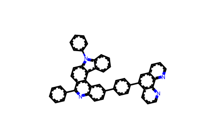 c1ccc(-c2nc3ccc(-c4ccc(-c5cc6cccnc6c6ncccc56)cc4)cc3c3c2ccc2c3c3ccccc3n2-c2ccccc2)cc1